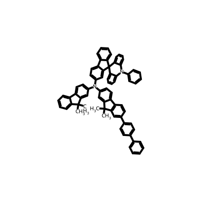 CC1(C)c2ccccc2-c2ccc(N(c3ccc4c(c3)C(C)(C)c3cc(-c5ccc(-c6ccccc6)cc5)ccc3-4)c3ccc4c(c3)C3(c5ccccc5-4)c4ccccc4N(c4ccccc4)c4ccccc43)cc21